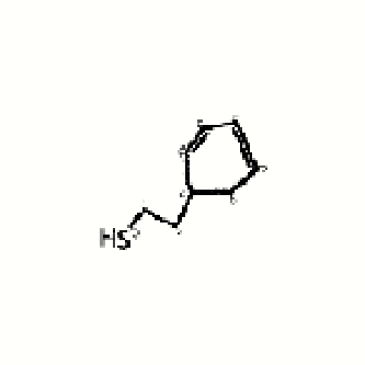 SCCC1C=CC=CC1